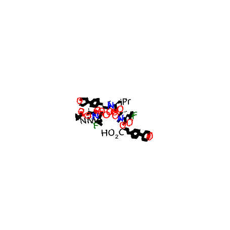 CNC1(C(=O)O[C@H](C)C(=O)N(C)[C@@H](CC(C)(C)F)C(=O)O[C@H](Cc2ccc(C3CCOCC3)cc2)C(=O)N(C)[C@@H](CC(C)C)C(=O)O[C@H](C)C(=O)N(C)[C@@H](CC(C)(C)F)C(=O)O[C@H](CCc2ccc(C3CCOCC3)cc2)C(=O)O)CC1